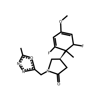 COC1=CC(F)C(C)([C@H]2CC(=O)N(Cc3nnc(C)o3)C2)C(F)=C1